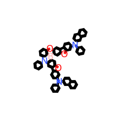 c1ccc(N(c2ccc3ccccc3c2)c2ccc3c(c2)oc2cc4c(cc23)Oc2cccc3c2B4c2cc4oc5cc(N(c6ccccc6)c6ccc7ccccc7c6)ccc5c4cc2N3c2ccccc2)cc1